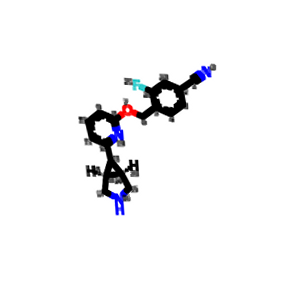 N#Cc1ccc(COc2cccc(C3[C@H]4CNC[C@@H]34)n2)c(F)c1